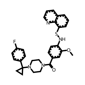 COc1cc(C(=O)N2CCN(C3(c4ccc(F)cc4)CC3)CC2)ccc1NSc1cccc2cccnc12